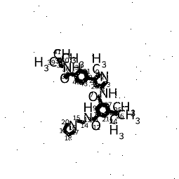 Cc1ncc(NC(=O)c2cc(C(=O)NCCN3CCCC3)cc(C(C)(C)C)c2)cc1-c1ccc(C(=O)NCC(C)(C)C)cc1